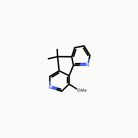 COc1cncc2c1-c1ncccc1C2(C)C